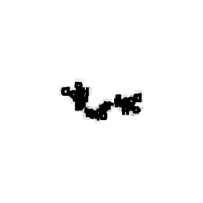 CC(C(=O)C(C)N1CCN(CC[C@@H]2CSC(c3cc4cc(Cl)cc(NC5CCCC5)c4[nH]3)=N2)CC1)N1CCN(CC[C@@H]2CSC(c3cc4cc(Cl)cc(NC5CCCC5)c4[nH]3)=N2)CC1